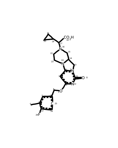 Cc1cc(COc2cc3n(c(=O)n2)CC2CN(C(C(=O)O)C4CC4)CCN32)ccc1F